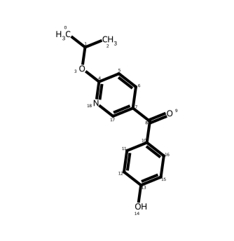 CC(C)Oc1ccc(C(=O)c2ccc(O)cc2)cn1